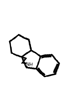 c1ccc2c(c1)C1CCCCC13CCNC23